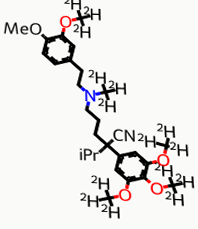 [2H]C([2H])([2H])Oc1cc(CCN(CCCC(C#N)(c2cc(OC([2H])([2H])[2H])c(OC([2H])([2H])[2H])c(OC([2H])([2H])[2H])c2)C(C)C)C([2H])([2H])[2H])ccc1OC